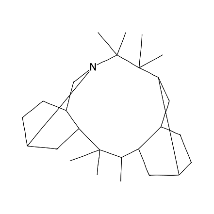 CC1C2CC3CCC2CC3C(C)(C)C(C)(C)N2CC3CCC2CC3C1(C)C